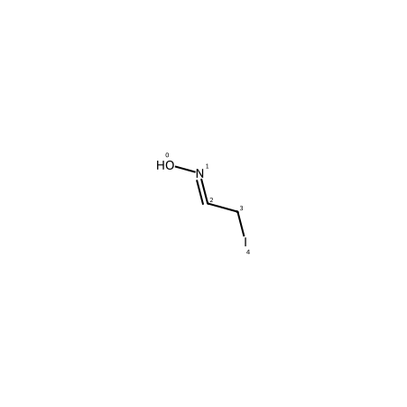 ON=CCI